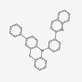 c1ccc(-c2ccc3c(c2)Sc2ccccc2N3c2cccc(-c3ccc4ccccc4n3)c2)cc1